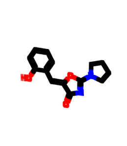 O=C1N=C(N2CCCC2)O/C1=C\c1ccccc1O